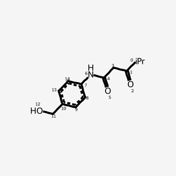 CC(C)C(=O)CC(=O)Nc1ccc(CO)cc1